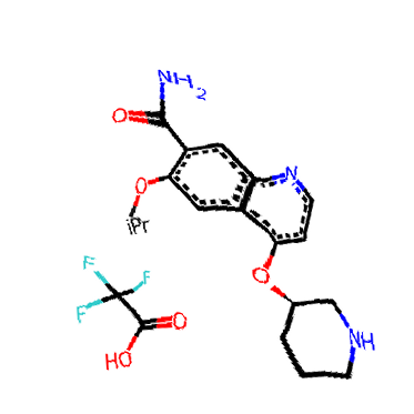 CC(C)Oc1cc2c(O[C@@H]3CCCNC3)ccnc2cc1C(N)=O.O=C(O)C(F)(F)F